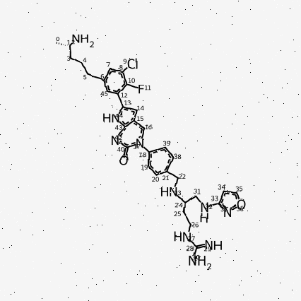 C[C@H](N)CCCc1cc(Cl)c(F)c(-c2cc3cn(-c4ccc(CN[C@H](CCNC(=N)N)CNc5ccon5)cc4)c(=O)nc3[nH]2)c1